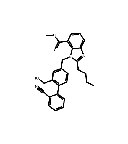 CCCCc1nc2cccc(C(=O)OC)c2n1Cc1ccc(-c2ccccc2C#N)c(CO)c1